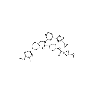 COc1ccc([C@H]2CC[C@H](CN(c3cc(-c4coc(C5CC5)n4)ccn3)C(=O)[C@H]3CC[C@H](OC(=O)N4CC(OC)C4)CC3)CC2)nc1C